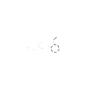 C=Cc1ccccc1OCC(O)CO